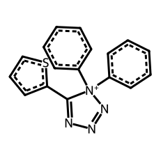 c1ccc([N+]2(c3ccccc3)N=NN=C2c2cccs2)cc1